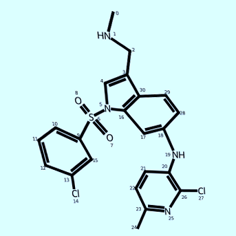 CNCc1cn(S(=O)(=O)c2cccc(Cl)c2)c2cc(Nc3ccc(C)nc3Cl)ccc12